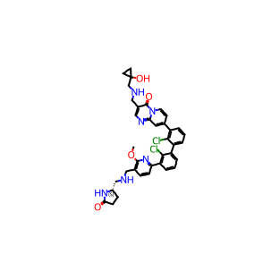 COc1nc(-c2cccc(-c3cccc(-c4ccn5c(=O)c(CNCC6(O)CC6)cnc5c4)c3Cl)c2Cl)ccc1CNC[C@@H]1CCC(=O)N1